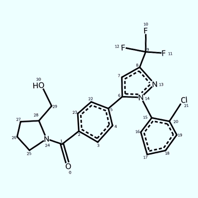 O=C(c1ccc(-c2cc(C(F)(F)F)nn2-c2ccccc2Cl)cc1)N1CCCC1CO